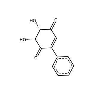 O=C1C=C(c2ccccc2)C(=O)[C@H](O)[C@@H]1O